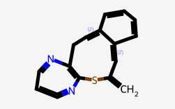 C=C1/C=c2/cccc/c2=C/CC2=C(N=C=CC=N2)S1